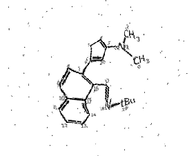 CN(C)C1=CCC(c2ccc3ccccc3c2C=NC(C)(C)C)=C1